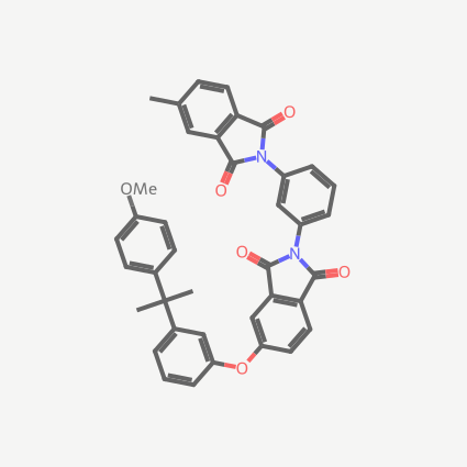 COc1ccc(C(C)(C)c2cccc(Oc3ccc4c(c3)C(=O)N(c3cccc(N5C(=O)c6ccc(C)cc6C5=O)c3)C4=O)c2)cc1